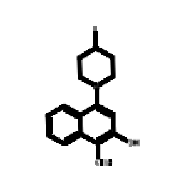 O=Cc1c(O)cc(N2CCC(I)CC2)c2ccccc12